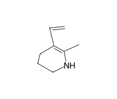 C=CC1=C(C)NCCC1